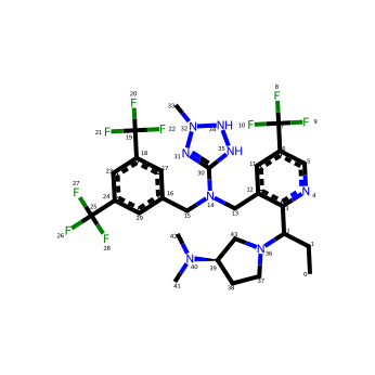 CCC(c1ncc(C(F)(F)F)cc1CN(Cc1cc(C(F)(F)F)cc(C(F)(F)F)c1)C1=NN(C)NN1)N1CC[C@@H](N(C)C)C1